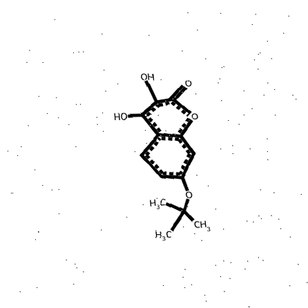 CC(C)(C)Oc1ccc2c(O)c(O)c(=O)oc2c1